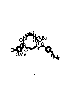 COc1ccc(C[C@H]2NC(=O)/C=C/C[C@@H](C(C)[C@H]3O[C@@H]3c3ccc(CN=[N+]=[N-])cc3)OC(=O)[C@H](CC(C)(C)C)NC(=O)C(C)(C)C(C)NC2=O)cc1Cl